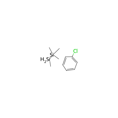 C[SiH2][Si](C)(C)C.Clc1ccccc1